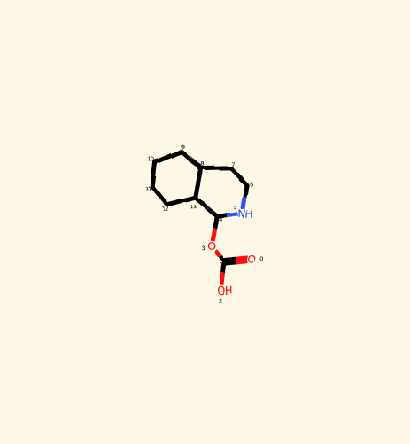 O=C(O)OC1NCCC2CCCCC21